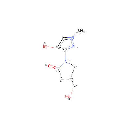 Cn1cc(Br)c(N2CC(CO)CC2=O)n1